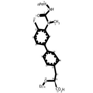 CCCCCNC(=O)N(C)c1cc(-c2ccc(C[C@H](OCC)C(=O)O)cc2)ccc1F